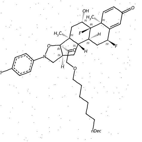 CCCCCCCCCCCCCCCCOCC(=O)[C@@]12ON(c3ccc(Cl)cc3)C[C@@H]1C[C@H]1[C@@H]3C[C@H](F)C4=CC(=O)C=C[C@]4(C)[C@@]3(F)[C@@H](O)C[C@@]12C